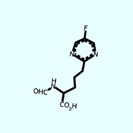 O=CNC(CCCc1ncc(F)cn1)C(=O)O